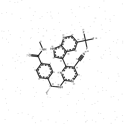 CNC(=O)c1ccc([C@@H](C)Nc2ncc(C#N)c(-c3c[nH]c4ncc(C(F)(F)F)cc34)n2)cc1